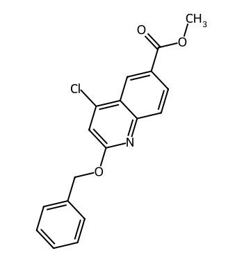 COC(=O)c1ccc2nc(OCc3ccccc3)cc(Cl)c2c1